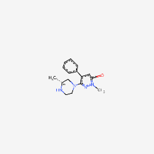 C[C@@H]1CN(c2nn(C)c(=O)cc2-c2ccccc2)CCN1